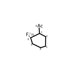 CC(=O)C1CCCC[C@@H]1F